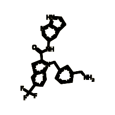 NCc1cccc(Cn2c(C(=O)Nc3cnc4[nH]ccc4c3)cc3cc(C(F)(F)F)ccc32)c1